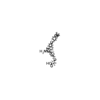 CC1(C(=O)O)CC(OCCN2CCN(c3nc(N)nc4c3CCc3cc(OCc5ccc(OC(F)(F)F)cc5)ccc3-4)CC2)C1